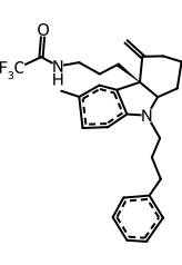 C=C1CCCC2N(CCCc3ccccc3)c3ccc(C)cc3[C@]12CCCNC(=O)C(F)(F)F